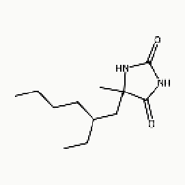 CCCCC(CC)CC1(C)NC(=O)NC1=O